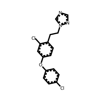 Clc1ccc(Oc2ccc(CCn3cncn3)c(Cl)c2)cc1